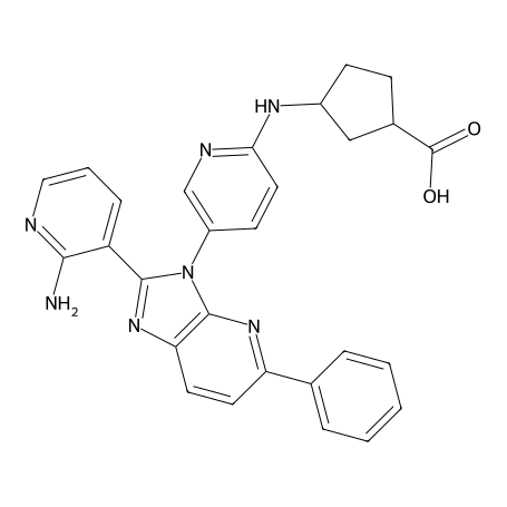 Nc1ncccc1-c1nc2ccc(-c3ccccc3)nc2n1-c1ccc(NC2CCC(C(=O)O)C2)nc1